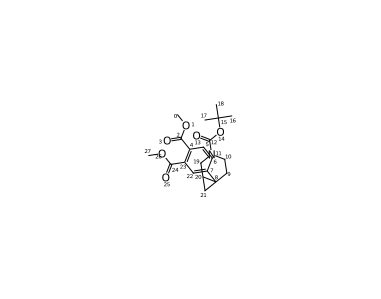 COC(=O)c1ccc(C23CCN(C(=O)OC(C)(C)C)CC2C3)cc1C(=O)OC